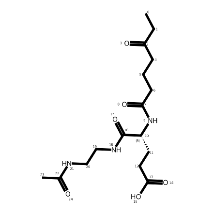 CCC(=O)CCCC(=O)N[C@H](CCC(=O)O)C(=O)NCCNC(C)=O